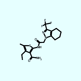 CCc1c(C)sc(NC(=O)Cn2nc(C(F)(F)F)c3c2CCCC3)c1C(N)=O